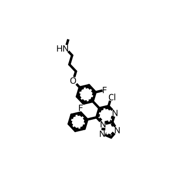 CNCCCOc1cc(F)c(-c2c(Cl)nc3ncnn3c2-c2ccccc2)c(F)c1